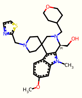 COc1ccc2c3c(n(C)c2c1)[C@H](CO)N(CC1CCOCC1)CC31CCN(Cc2nccs2)CC1